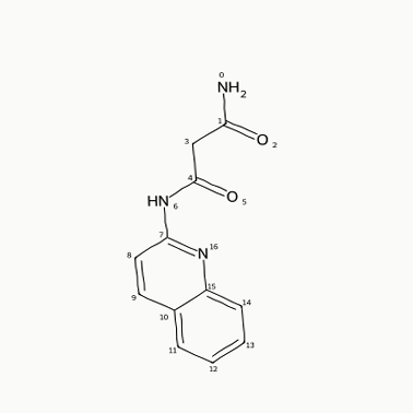 NC(=O)CC(=O)Nc1ccc2ccccc2n1